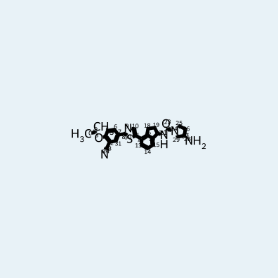 CC(C)Oc1ccc(-c2ncc(-c3cccc4c3CCC4NC(=O)N3CC[C@H](N)C3)s2)cc1C#N